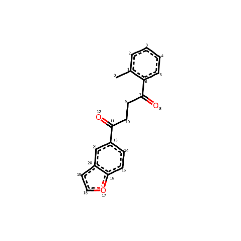 Cc1ccccc1C(=O)CCC(=O)c1ccc2occc2c1